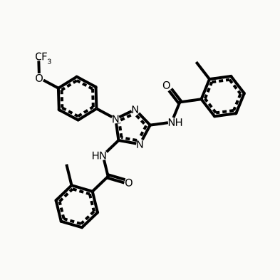 Cc1ccccc1C(=O)Nc1nc(NC(=O)c2ccccc2C)n(-c2ccc(OC(F)(F)F)cc2)n1